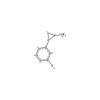 Fc1cccc(C2CC2C(F)(F)F)c1